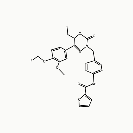 CCC1OC(=O)N(Cc2ccc(NC(=O)c3cccs3)cc2)N=C1c1ccc(OCF)c(OC)c1